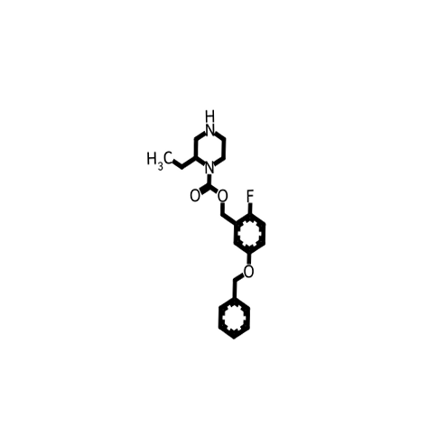 CCC1CNCCN1C(=O)OCc1cc(OCc2ccccc2)ccc1F